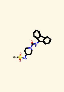 CC(C)(C)S(=O)(=O)NC1CCN(C(=O)NC2c3ccccc3-c3ccccc32)CC1